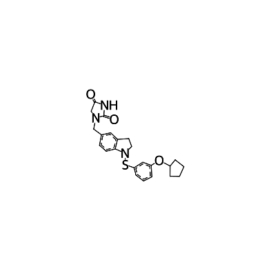 O=C1CN(Cc2ccc3c(c2)CCN3Sc2cccc(OC3CCCC3)c2)C(=O)N1